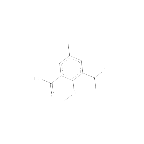 COc1c(C(=O)O)cc(C)cc1C(C)O